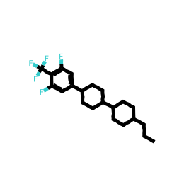 CCCC1CCC(C2CCC(c3cc(F)c(C(F)(F)F)c(F)c3)CC2)CC1